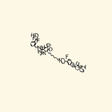 COc1cc2c(N[C@H](C)c3cccc(C(F)(F)CO)c3)nc(C)nc2c(CCCCCCCN2CCC(c3cc4c(cc3F)CN(C3CCC(=O)NC3=O)C4)CC2)c1OC